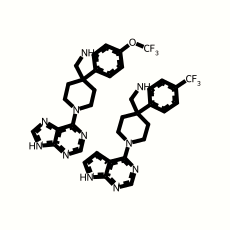 NCC1(c2ccc(C(F)(F)F)cc2)CCN(c2ncnc3[nH]ccc23)CC1.NCC1(c2ccc(OC(F)(F)F)cc2)CCN(c2ncnc3[nH]cnc23)CC1